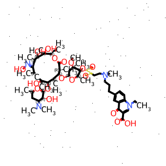 CC[C@H]1OC(=O)[C@H](C)[C@@H](O[C@H]2C[C@@](C)(OC)[C@@H](OS(=O)(=O)CCN(C)CCCc3ccc4c(c3)c(=O)c(C(=O)O)cn4CC)[C@H](C)O2)[C@H](C)[C@@H](O[C@@H]2O[C@H](C)C[C@H](N(C)C)[C@H]2O)[C@](C)(O)C[C@@H](C)/C(=N\O)[C@H](C)[C@@H](O)[C@]1(C)O